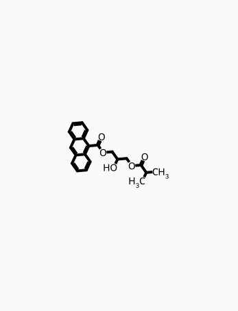 CC(C)C(=O)OCC(O)COC(=O)c1c2ccccc2cc2ccccc12